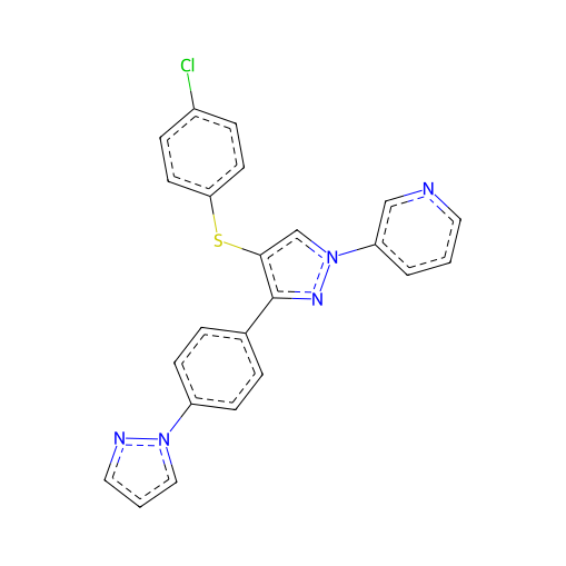 Clc1ccc(Sc2cn(-c3cccnc3)nc2-c2ccc(-n3cccn3)cc2)cc1